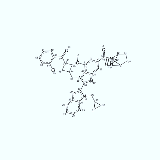 COc1cc(C(=O)N2CC3CCC2[C@@H]3N)cc2nc(-c3cc4cccnc4n3CC3CC3)n(CC3CN(C(=O)c4ccccc4Cl)C3)c12